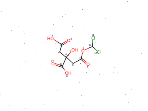 O=C(O)CC(O)(CC(=O)OC(Cl)Cl)C(=O)O